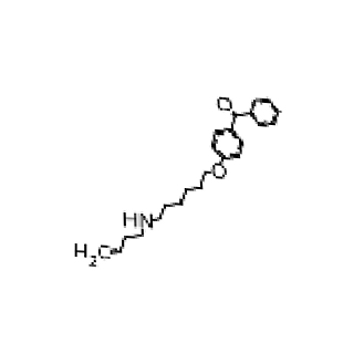 C=CCCNCCCCCCOc1ccc(C(=O)c2ccccc2)cc1